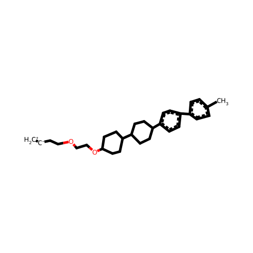 [CH2+][CH-]CCOCCOC1CCC(C2CCC(c3ccc(-c4ccc(C)cc4)cc3)CC2)CC1